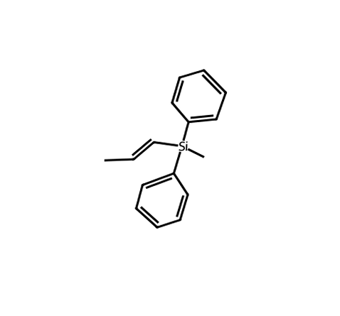 CC=C[Si](C)(c1ccccc1)c1ccccc1